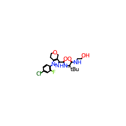 CC(C)(C)[C@H](NC(=O)c1nn(-c2ccc(Cl)cc2F)c2c1COCC2)C(=O)NCCO